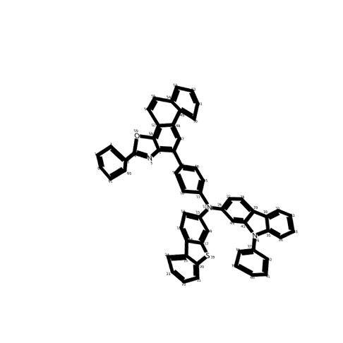 c1ccc(-c2nc3c(-c4ccc(N(c5ccc6c(c5)sc5ccccc56)c5ccc6c7ccccc7n(-c7ccccc7)c6c5)cc4)cc4c5ccccc5ccc4c3o2)cc1